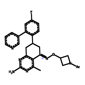 CC(=O)N1CC(O/N=C2\CC(c3ccc(F)cc3-c3cccnc3)Cc3nc(N)nc(C)c32)C1